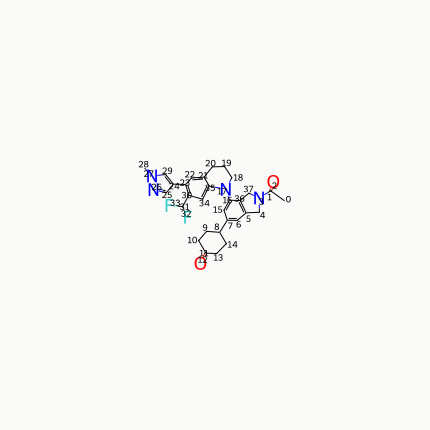 CC(=O)N1Cc2cc(C3CCC(=O)CC3)cc(N3CCCc4cc(-c5cnn(C)c5)c(C(F)F)cc43)c2C1